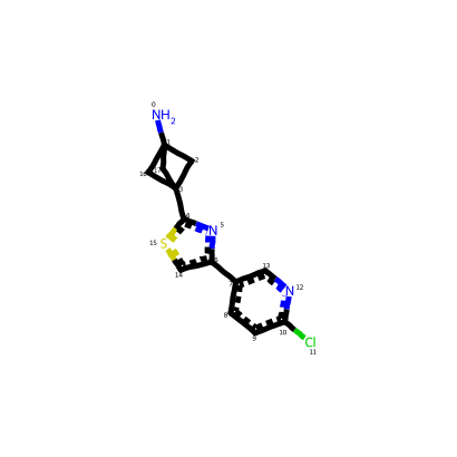 NC12CC(c3nc(-c4ccc(Cl)nc4)cs3)(C1)C2